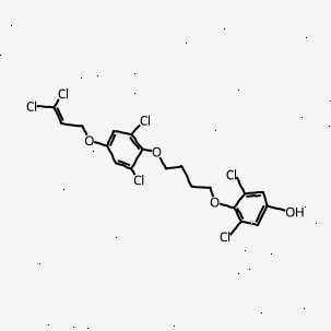 Oc1cc(Cl)c(OCCCCOc2c(Cl)cc(OCC=C(Cl)Cl)cc2Cl)c(Cl)c1